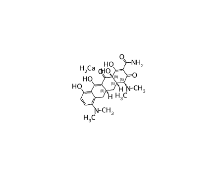 CN(C)c1ccc(O)c2c1C[C@H]1C[C@H]3[C@H](N(C)C)C(=O)C(C(N)=O)=C(O)[C@@]3(O)C(=O)C1=C2O.[CaH2]